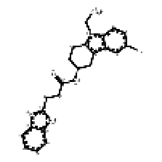 O=C(O)Cn1c2c(c3cc(F)ccc31)C[C@@H](NC(=O)CCc1nc3ccccc3[nH]1)CC2